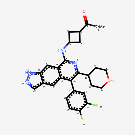 COC(=O)C1CC(Nc2nc(C3CCOCC3)c(-c3ccc(F)c(F)c3)c3cc4cn[nH]c4cc23)C1